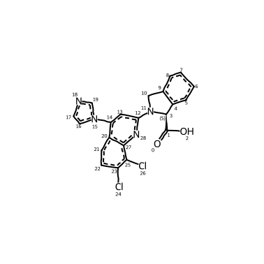 O=C(O)[C@@H]1c2ccccc2CN1c1cc(-n2ccnc2)c2ccc(Cl)c(Cl)c2n1